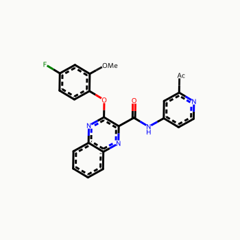 COc1cc(F)ccc1Oc1nc2ccccc2nc1C(=O)Nc1ccnc(C(C)=O)c1